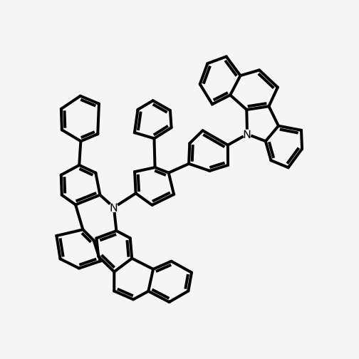 c1ccc(-c2ccc(-c3ccccc3)c(N(c3ccc(-c4ccc(-n5c6ccccc6c6ccc7ccccc7c65)cc4)c(-c4ccccc4)c3)c3ccc4ccc5ccccc5c4c3)c2)cc1